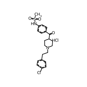 CS(=O)(=O)Nc1ccc(C(=O)C2CCN(CCc3ccc(Cl)cc3)CC2)cc1.Cl